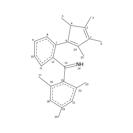 CC1=C(C)C(C)C(c2ccccc2C(=N)c2c(C)cc(C)cc2C)=C1C